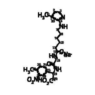 Cc1ccnc(NCCCCCC(=O)NCC(=O)NC(CC(=O)O)c2ccc(C)c([N+](=O)[O-])c2)c1.[Na]